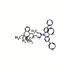 C=C/C=C(\C=C/C/C(=C/C)CC1C=C(C=C)C(C)(CC)Cc2ccccc21)N(c1ccc(C2=CC=CCC=C2)cc1)c1ccc(C2=C=C/C=C\C/C=C\2)cc1C1C=C/C=C\C/C=C\1